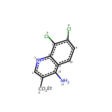 CCOC(=O)c1cnc2c(Cl)c(Cl)ccc2c1N